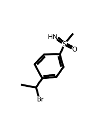 CC(Br)c1ccc(S(C)(=N)=O)cc1